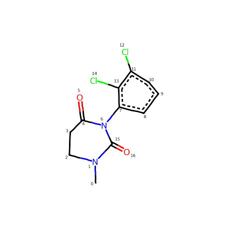 CN1CCC(=O)N(c2cccc(Cl)c2Cl)C1=O